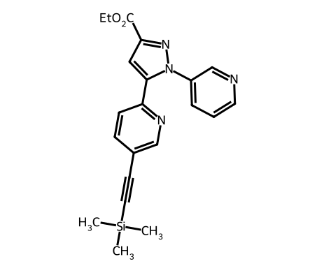 CCOC(=O)c1cc(-c2ccc(C#C[Si](C)(C)C)cn2)n(-c2cccnc2)n1